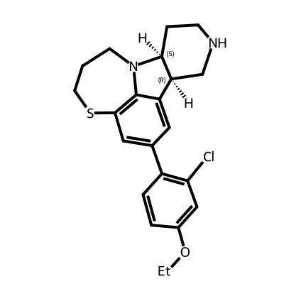 CCOc1ccc(-c2cc3c4c(c2)[C@@H]2CNCC[C@@H]2N4CCCS3)c(Cl)c1